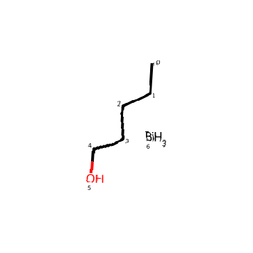 CCCCCO.[BiH3]